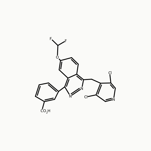 O=C(O)c1cccc(-c2nnc(Cc3c(Cl)cncc3Cl)c3ccc(OC(F)F)cc23)c1